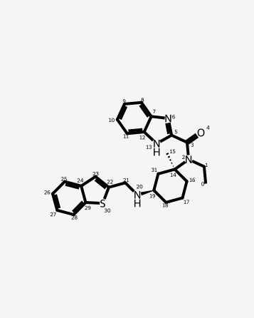 CCN(C(=O)c1nc2ccccc2[nH]1)[C@@]1(C)CCC[C@@H](NCc2cc3ccccc3s2)C1